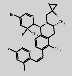 Cc1c(/N=C\c2ncc(Br)cc2F)ccc2c1C[C@@H](C)N(CC1(F)CC1)[C@@H]2C1N=CC(Br)=CC1(C)F